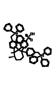 C[C@@H]1CCCC(C)(c2ccc(C[PH](c3ccccc3)(c3ccccc3)c3ccccc3)cc2)C(C)(c2ccc(S(=O)(=O)O)cc2)C1(C)c1ccc(C[PH](c2ccccc2)(c2ccccc2)c2ccccc2)cc1